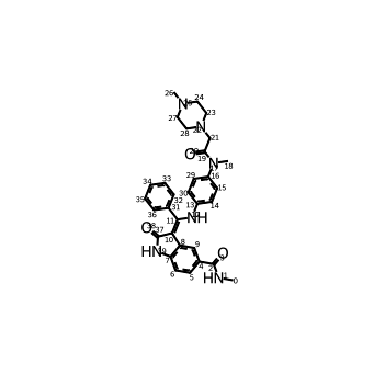 CNC(=O)c1ccc2c(c1)C(=C(Nc1ccc(N(C)C(=O)CN3CCN(C)CC3)cc1)c1ccccc1)C(=O)N2